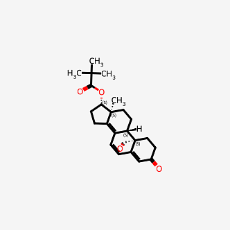 CC(C)(C)C(=O)O[C@H]1CCC2=C3C=CC4=CC(=O)CC[C@]4(C=O)[C@H]3CC[C@@]21C